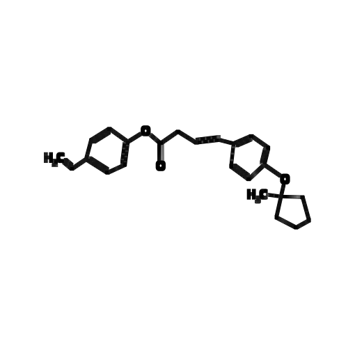 C=Cc1ccc(OC(=O)C/C=C/c2ccc(OC3(C)CCCC3)cc2)cc1